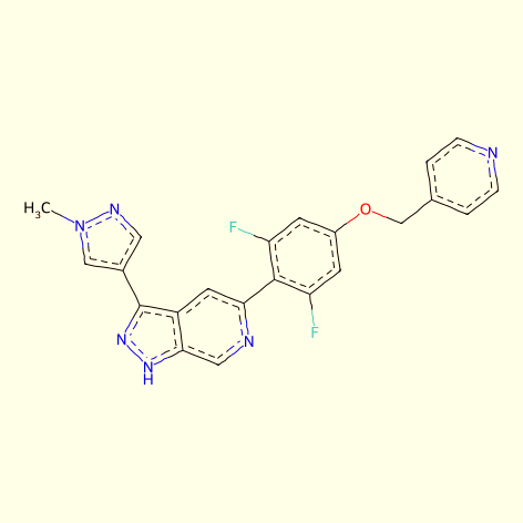 Cn1cc(-c2n[nH]c3cnc(-c4c(F)cc(OCc5ccncc5)cc4F)cc23)cn1